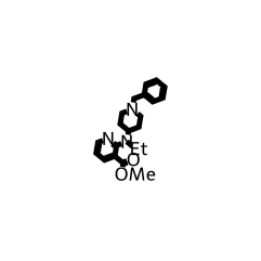 CCN(c1ncccc1C(=O)OC)C1CCN(Cc2ccccc2)CC1